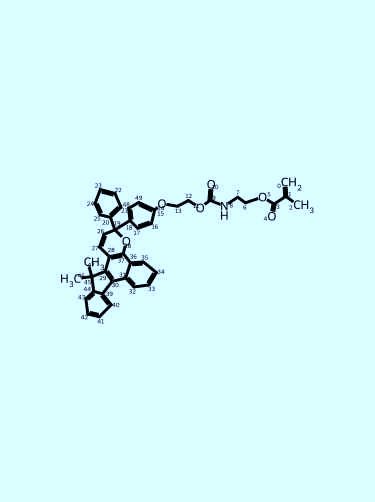 C=C(C)C(=O)OCCNC(=O)OCCOc1ccc(C2(c3ccccc3)C=Cc3c4c(c5ccccc5c3O2)-c2ccccc2C4(C)C)cc1